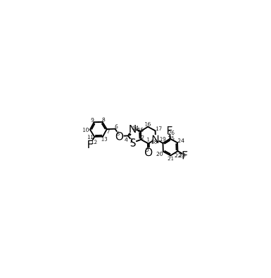 O=C1c2sc(OCc3cccc(F)c3)nc2CCN1c1ccc(F)cc1F